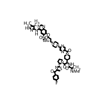 C=C(NC)C(=O)N[C@H](C(=O)N1CCC[C@H]1c1nc(C(=O)c2ccc(F)cc2)cs1)C1CCN(C(=O)c2cnc(N3CCN(CCCOc4cc5ncnc(Nc6n[nH]c(C)c6C)c5cc4S(=O)(=O)C(C)(C)C)CC3)cn2)CC1